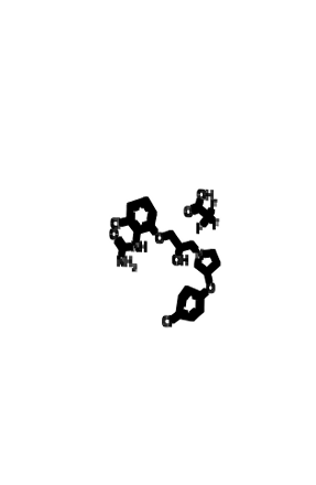 NC(=O)Nc1c(Cl)cccc1OCC(O)CN1CCC(Oc2ccc(Cl)cc2)C1.O=C(O)C(F)(F)F